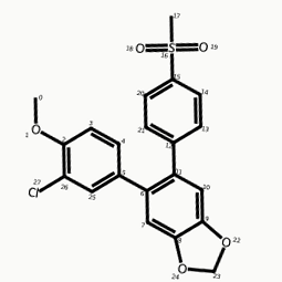 COc1ccc(-c2cc3c(cc2-c2ccc(S(C)(=O)=O)cc2)OCO3)cc1Cl